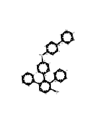 Sc1ccc(-c2ccccc2)c(-c2ccc(Sc3ccc(-c4ccccc4)cc3)cc2)c1-c1ccccc1